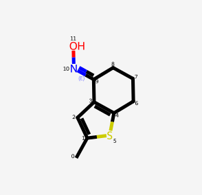 Cc1cc2c(s1)CCC/C2=N\O